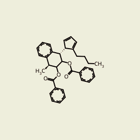 CCCCC1=CC=CC1[C@H]1c2ccccc2[C@H](C)C(OC(=O)c2ccccc2)C1OC(=O)c1ccccc1